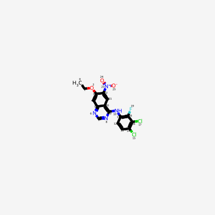 CCOc1cc2ncnc(Nc3ccc(Cl)c(Cl)c3F)c2cc1[N+](=O)[O-]